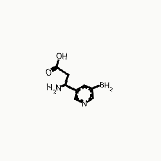 Bc1cncc(C(N)CC(=O)O)c1